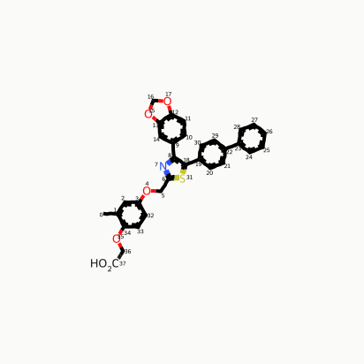 Cc1cc(OCc2nc(-c3ccc4c(c3)OCO4)c(-c3ccc(-c4ccccc4)cc3)s2)ccc1OCC(=O)O